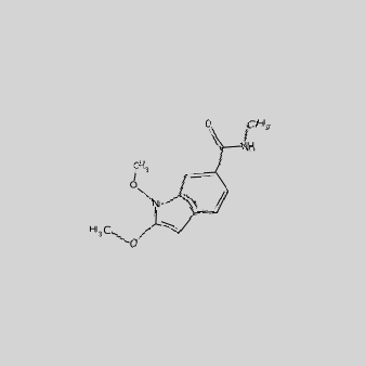 CNC(=O)c1ccc2cc(OC)n(OC)c2c1